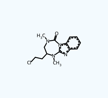 CN1CC(CCCl)N(C)c2nc3ccccc3n2C1=O